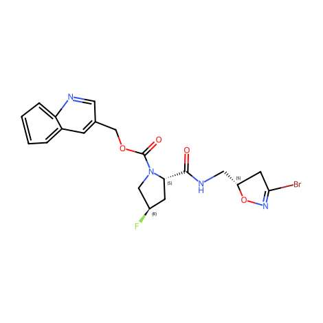 O=C(NC[C@@H]1CC(Br)=NO1)[C@@H]1C[C@@H](F)CN1C(=O)OCc1cnc2ccccc2c1